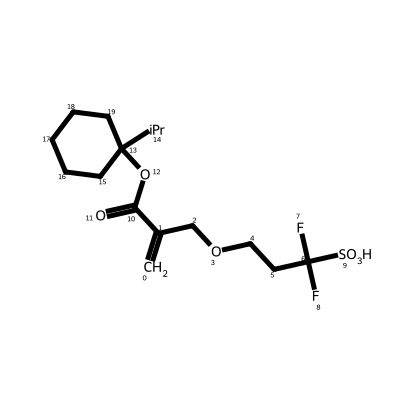 C=C(COCCC(F)(F)S(=O)(=O)O)C(=O)OC1(C(C)C)CCCCC1